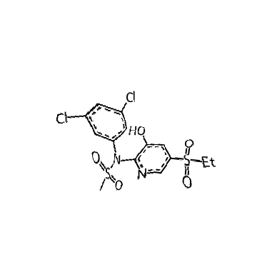 CCS(=O)(=O)c1cnc(N(c2cc(Cl)cc(Cl)c2)S(C)(=O)=O)c(O)c1